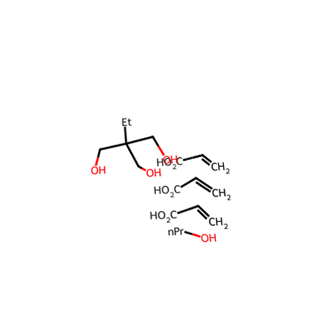 C=CC(=O)O.C=CC(=O)O.C=CC(=O)O.CCC(CO)(CO)CO.CCCO